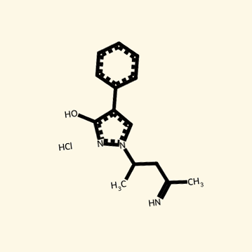 CC(=N)CC(C)n1cc(-c2ccccc2)c(O)n1.Cl